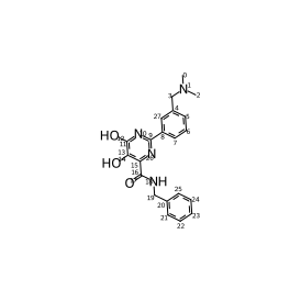 CN(C)Cc1cccc(-c2nc(O)c(O)c(C(=O)NCc3ccccc3)n2)c1